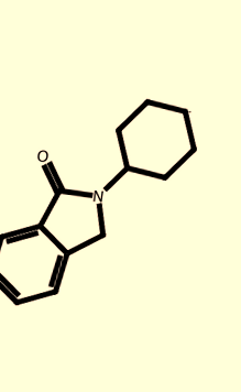 O=C1c2ccccc2CN1C1CC[CH]CC1